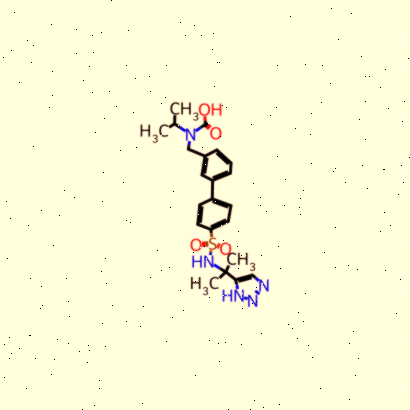 CC(C)N(Cc1cccc(-c2ccc(S(=O)(=O)NC(C)(C)c3cnn[nH]3)cc2)c1)C(=O)O